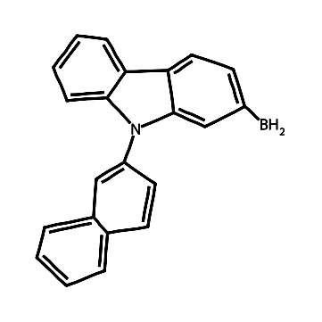 Bc1ccc2c3ccccc3n(-c3ccc4ccccc4c3)c2c1